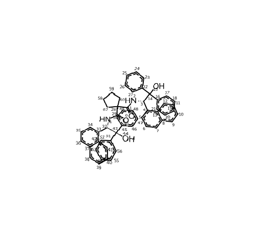 O=C(N[C@@H](c1cccc2ccccc12)C(O)(c1ccccc1)c1ccccc1)C1(C(=O)N[C@@H](c2cccc3ccccc23)C(O)(c2ccccc2)c2ccccc2)CCCC1